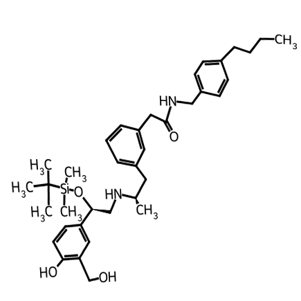 CCCCc1ccc(CNC(=O)Cc2cccc(C[C@@H](C)NC[C@H](O[Si](C)(C)C(C)(C)C)c3ccc(O)c(CO)c3)c2)cc1